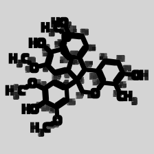 COc1cc(C2(c3cc(OC)c(O)c(OC)c3)COc3c(ccc(O)c3C)C2c2ccc(O)cc2)cc(OC)c1O